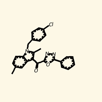 Cc1ccc2c(c1)c(C(=O)c1nnc(-c3ccccc3)o1)c(C)n2Cc1ccc(Cl)cc1